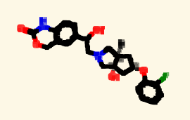 O=C1Nc2ccc(C(O)CN3C[C@H]4C[C@H](Oc5ccccc5F)C[C@@]4(O)C3)cc2CO1